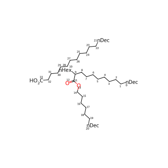 CCCCCCCCCCCCCCCCCCC(CCCCCC)C(=O)OCCCCCCCCCCCCCCCC.CCCCCCCCCCCCCCCCCCCCCC(=O)O